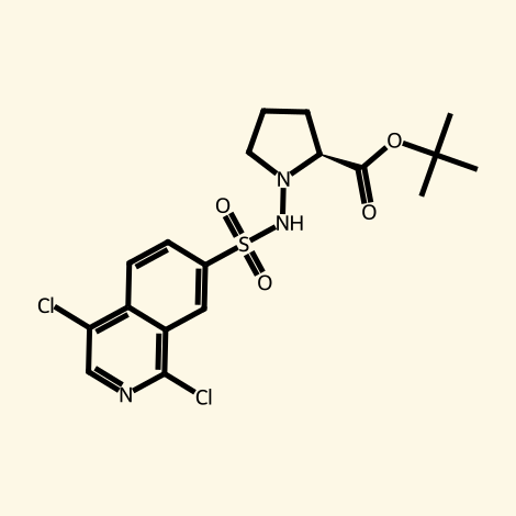 CC(C)(C)OC(=O)[C@@H]1CCCN1NS(=O)(=O)c1ccc2c(Cl)cnc(Cl)c2c1